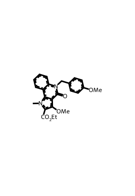 CCOC(=O)c1c(OC)c2c(=O)n(Cc3ccc(OC)cc3)c3ccccc3c2n1C